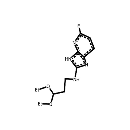 CCOC(CCNc1nc2ccc(F)nc2[nH]1)OCC